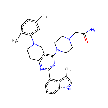 Cc1ccc(C(F)(F)F)cc1N1CCc2nc(-c3cccc4[nH]cc(C)c34)nc(N3CCN(CC(N)=O)CC3)c2C1